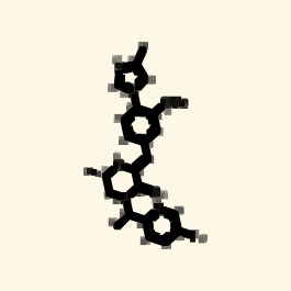 COc1cc(C=C2O[C@@H](C)CN([C@H](C)c3ccc(F)cn3)C2=O)ccc1-n1cnc(C)c1